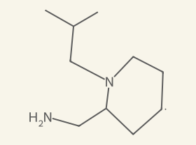 CC(C)CN1CC[CH]CC1CN